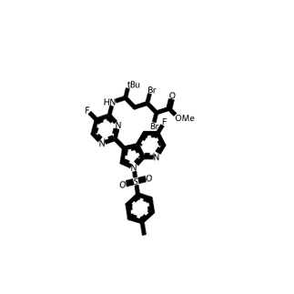 COC(=O)C(Br)C(Br)CC(Nc1nc(-c2cn(S(=O)(=O)c3ccc(C)cc3)c3ncc(F)cc23)ncc1F)C(C)(C)C